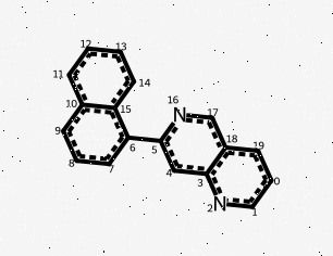 c1cnc2cc(-c3cccc4ccccc34)ncc2c1